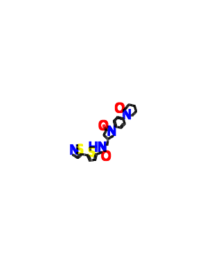 O=C(NCC1CC(=O)N(c2ccc(N3CCCCC3=O)cc2)C1)c1ccc(-c2ccns2)s1